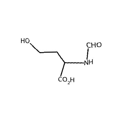 O=CNC(CCO)C(=O)O